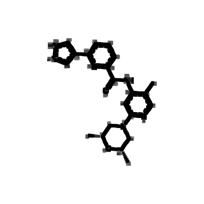 Cc1cnc(N2C[C@@H](C)O[C@@H](C)C2)cc1NC(=O)c1cccc(-c2cn[nH]c2)n1